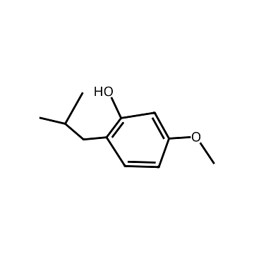 COc1ccc(CC(C)C)c(O)c1